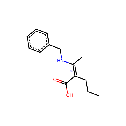 CCC/C(C(=O)O)=C(\C)NCc1ccccc1